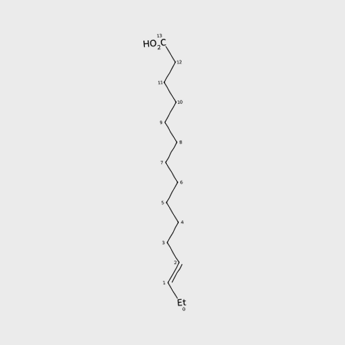 CCC=CCCCCCCCCCCC(=O)O